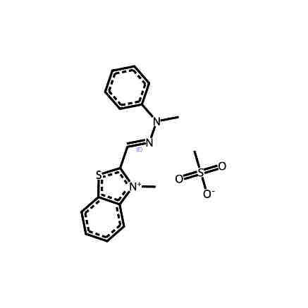 CN(/N=C/c1sc2ccccc2[n+]1C)c1ccccc1.CS(=O)(=O)[O-]